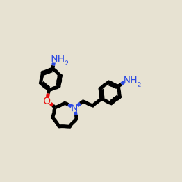 Nc1ccc(CCN2CCCCC(Oc3ccc(N)cc3)C2)cc1